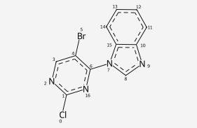 Clc1ncc(Br)c(-n2cnc3ccccc32)n1